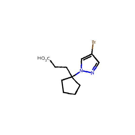 O=C(O)CCC1(n2cc(Br)cn2)CCCC1